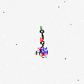 CCS(=O)(=O)NC(C(=O)NCCc1ccc(OCC#Cc2ccc(F)cc2)cc1)C(C)C